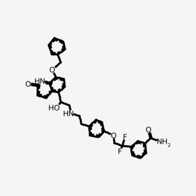 NC(=O)c1cccc(C(F)(F)COc2ccc(CCNCC(O)c3ccc(OCc4ccccc4)c4[nH]c(=O)ccc34)cc2)c1